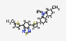 Cc1ccc2c3ccc(-c4ccc(-c5ccc(-c6ccc(C)s6)c6nsnc56)s4)cc3n(C(C)C)c2c1